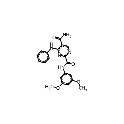 COc1cc(NC(=O)c2ncc(C(N)=O)c(Nc3ccccc3)n2)cc(OC)c1